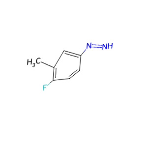 Cc1cc(N=N)ccc1F